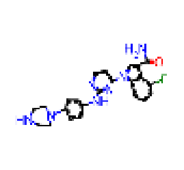 NC(=O)c1cn(-c2ccnc(Nc3ccc(N4CCNCC4)cc3)n2)c2cccc(F)c12